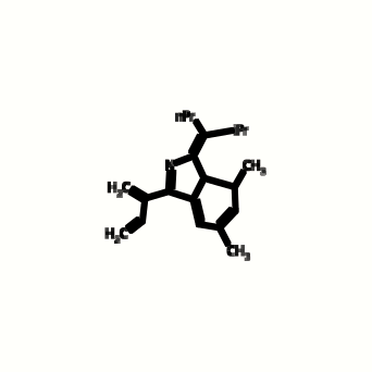 C=CC(=C)C1=N/C(=C(\CCC)C(C)C)C2C1=CC(C)=CC2C